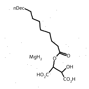 CCCCCCCCCCCCCCCCCC(=O)OC(C(=O)O)C(O)C(=O)O.[MgH2]